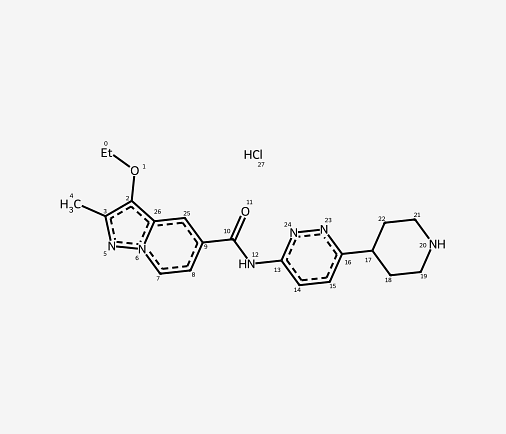 CCOc1c(C)nn2ccc(C(=O)Nc3ccc(C4CCNCC4)nn3)cc12.Cl